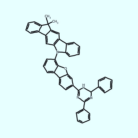 CC1(C)c2ccccc2-c2cc3c(cc21)c1ccccc1n3-c1cccc2c1oc1cc(C3=NC(c4ccccc4)=NC(c4ccccc4)N3)ccc12